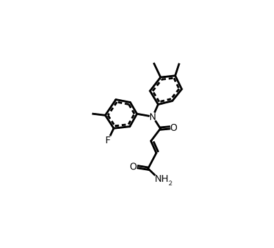 Cc1ccc(N(C(=O)C=CC(N)=O)c2ccc(C)c(F)c2)cc1C